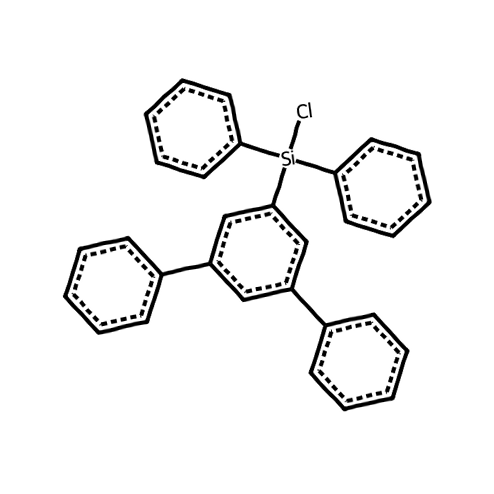 Cl[Si](c1ccccc1)(c1ccccc1)c1cc(-c2ccccc2)cc(-c2ccccc2)c1